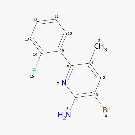 Cc1cc(Br)c(N)nc1-c1ccccc1F